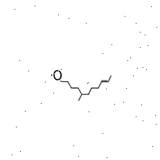 C/C=C/CCCC(C)CCCC[O]